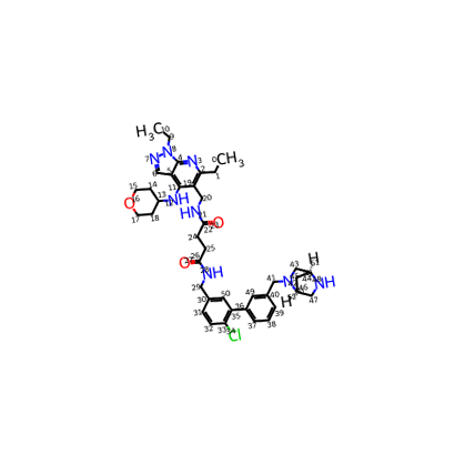 CCc1nc2c(cnn2CC)c(NC2CCOCC2)c1CNC(=O)CCC(=O)NCc1ccc(Cl)c(-c2cccc(CN3C[C@@H]4C[C@H]3CN4)c2)c1